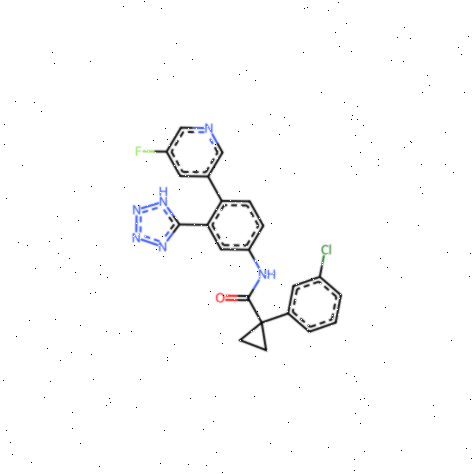 O=C(Nc1ccc(-c2cncc(F)c2)c(-c2nnn[nH]2)c1)C1(c2cccc(Cl)c2)CC1